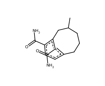 CC1CCCc2ccc(C(N)=O)c(c2C(N)=O)C1